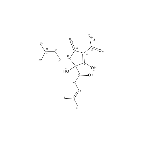 CC(C)=CCC(=O)C1(O)C(O)=C(C(=O)P)C(=O)C1CC=C(C)C